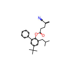 C=C(C#N)CCC(=O)Oc1c(CC(C)C)cc(C(C)(C)C)cc1-c1ccccc1